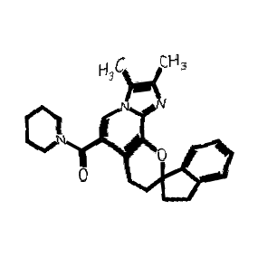 Cc1nc2c3c(c(C(=O)N4CCCCC4)cn2c1C)CCC1(CCc2ccccc21)O3